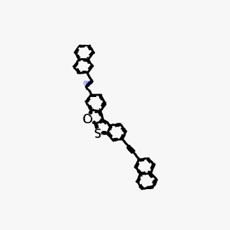 C(#Cc1ccc2c(c1)sc1oc3cc(/C=C/c4ccc5ccccc5c4)ccc3c12)c1ccc2ccccc2c1